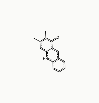 Cc1cc2[nH]c3ccccc3cc-2c(=O)c1C